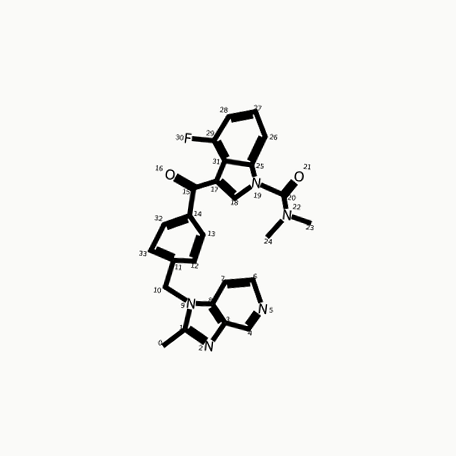 Cc1nc2cnccc2n1Cc1ccc(C(=O)c2cn(C(=O)N(C)C)c3cccc(F)c23)cc1